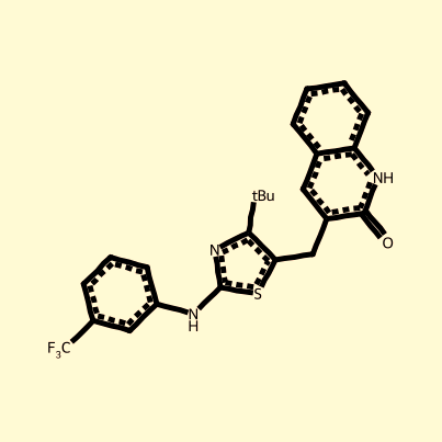 CC(C)(C)c1nc(Nc2cccc(C(F)(F)F)c2)sc1Cc1cc2ccccc2[nH]c1=O